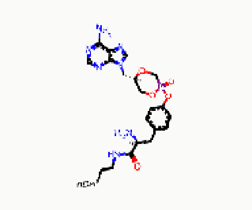 CCCCCCCCCCCCNC(=O)[C@@H](N)Cc1ccc(OP2(=O)CO[C@@H](Cn3cnc4c(N)ncnc43)CO2)cc1